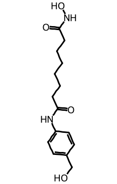 O=C(CCCCCCC(=O)Nc1ccc(CO)cc1)NO